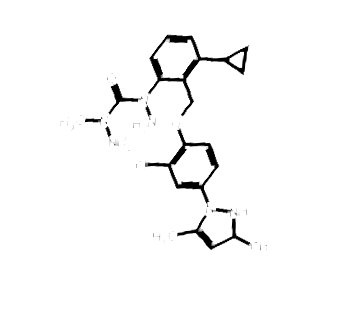 CC1=CC(C)NN1c1ccc(OCc2c(C3CC3)cccc2N(N)C(=O)N(C)N)c(Cl)c1